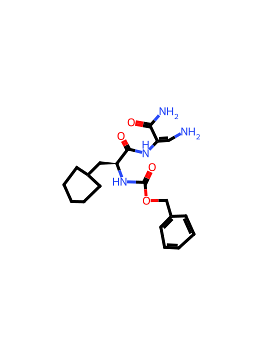 NC=C(NC(=O)[C@H](CC1CCCCC1)NC(=O)OCc1ccccc1)C(N)=O